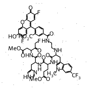 COC(=O)CCC(NC(=O)C(Cc1cn(C)c2cc(C(F)(F)F)ccc12)NCCNC(=O)c1ccc(-c2c3cc(F)c(=O)cc-3oc3cc(O)c(F)cc23)c(C(=O)O)c1)C(=O)NC(Cc1c[nH]cn1)C(=O)NC(CC(=O)OC)C(=O)CF